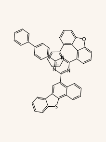 c1ccc(-c2ccc(-c3nc(-c4cc5c6ccccc6sc5c5ccccc45)nc(-c4cccc5oc6cccc(-c7ccccc7)c6c45)n3)cc2)cc1